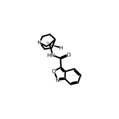 O=C(N[C@@H]1CN2CCC1CC2)c1onc2ccccc12